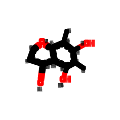 Cc1c(O)c(C)c2occc(=O)c2c1O